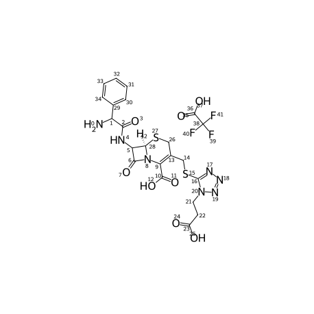 NC(C(=O)NC1C(=O)N2C(C(=O)O)=C(CSc3nnnn3CCC(=O)O)CS[C@H]12)c1ccccc1.O=C(O)C(F)(F)F